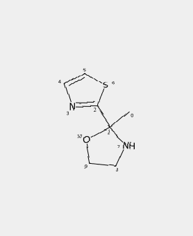 CC1(c2nccs2)NCCO1